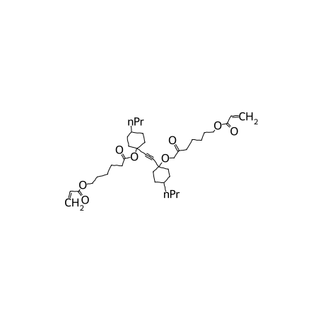 C=CC(=O)OCCCCCC(=O)COC1(C#CC2(OC(=O)CCCCCOC(=O)C=C)CCC(CCC)CC2)CCC(CCC)CC1